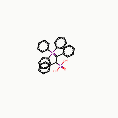 O=P(O)(O)C(C(c1ccccc1)=P(c1ccccc1)(c1ccccc1)c1ccccc1)c1ccccc1